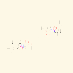 C=CCON1C(C)(C)CC(OC(=O)CCCCCCCCC(=O)OC2CC(C)(C)N(OCC=C)C(C)(C)C2)CC1(C)C